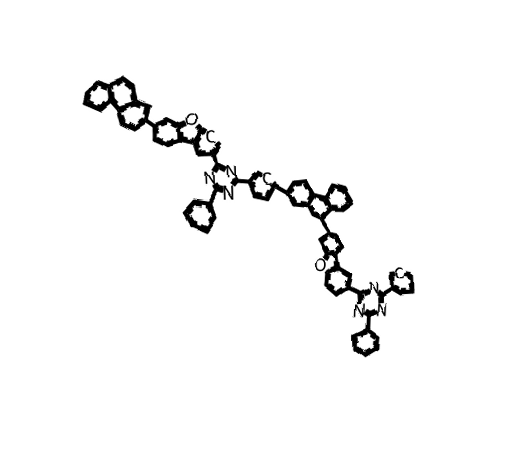 c1ccc(-c2nc(-c3ccc(-c4ccc5c(c4)cc(-c4ccc6c(c4)oc4ccc(-c7nc(-c8ccccc8)nc(-c8ccccc8)n7)cc46)c4ccccc45)cc3)nc(-c3ccc4oc5cc(-c6ccc7c(ccc8ccccc87)c6)ccc5c4c3)n2)cc1